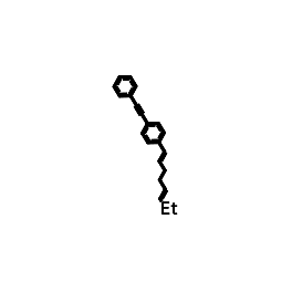 CCC=CCCC=Cc1ccc(C#Cc2ccccc2)cc1